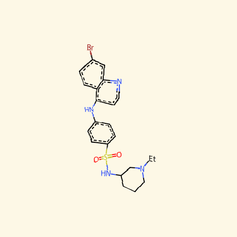 CCN1CCCC(NS(=O)(=O)c2ccc(Nc3ccnc4cc(Br)ccc34)cc2)C1